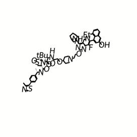 CCc1cccc2cc(O)cc(-c3ncc4c(N5CC6CCC(C5)N6)nc(OCCN5CCC(OCC(=O)N[C@H](C(=O)N6C[S+]([O-])C[C@H]6C(=O)N(C)[C@@H](C)c6ccc(-c7scnc7C)cc6)C(C)(C)C)CC5)nc4c3F)c12